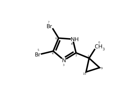 CC1(c2nc(Br)c(Br)[nH]2)CC1